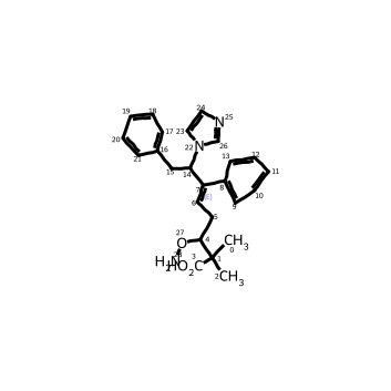 CC(C)(C(=O)O)C(C/C=C(\c1ccccc1)C(Cc1ccccc1)n1ccnc1)ON